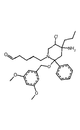 CCCC1(N)CC(OCc2cc(OC)cc(OC)c2)(c2ccccc2)N(CCCCC=O)CC1Cl